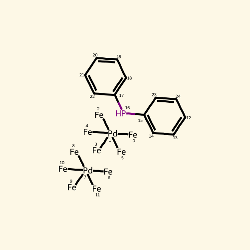 [Fe][Pd]([Fe])([Fe])([Fe])[Fe].[Fe][Pd]([Fe])([Fe])([Fe])[Fe].c1ccc(Pc2ccccc2)cc1